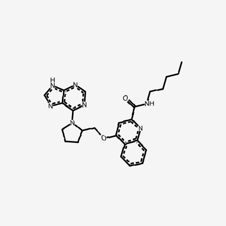 CCCCCNC(=O)c1cc(OCC2CCCN2c2ncnc3[nH]cnc23)c2ccccc2n1